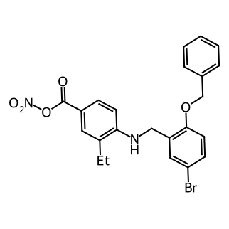 CCc1cc(C(=O)O[N+](=O)[O-])ccc1NCc1cc(Br)ccc1OCc1ccccc1